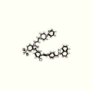 CS(=O)(=O)N1CCc2c(c(-c3ccc(Cl)c(C#Cc4ccc(CN[C@@H]5CCCc6ccccc65)cc4)c3)nn2CCCN2CCN(c3ccccn3)CC2)C1